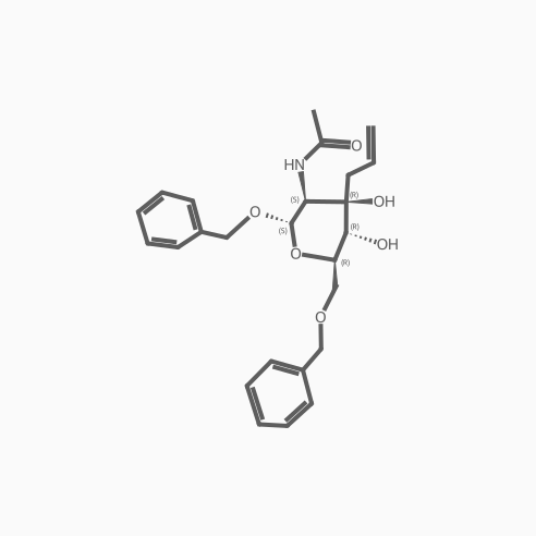 C=CC[C@]1(O)[C@H](O)[C@@H](COCc2ccccc2)O[C@H](OCc2ccccc2)[C@H]1NC(C)=O